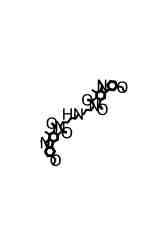 COc1ccc2c(c1)c1cc3c(c(C)c1n2C)C(=O)N(CCCCNCCCN1C(=O)c2cc4c5cc(OC)ccc5n(C)c4c(C)c2C1=O)C3=O